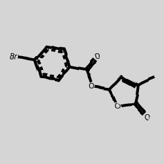 CC1=CC(OC(=O)c2ccc(Br)cc2)OC1=O